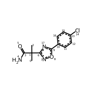 CC(C)(C(N)=O)c1noc(-c2ccc(Cl)cc2)n1